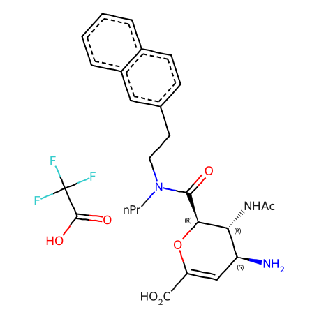 CCCN(CCc1ccc2ccccc2c1)C(=O)[C@@H]1OC(C(=O)O)=C[C@H](N)[C@H]1NC(C)=O.O=C(O)C(F)(F)F